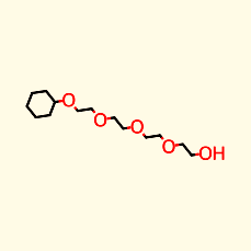 OCCOCCOCCOCCOC1CCCCC1